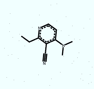 CCc1nccc(N(C)C)c1C#N